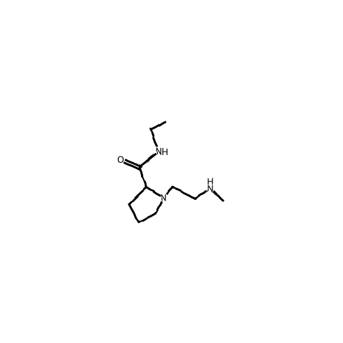 CCNC(=O)C1CCCN1CCNC